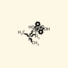 CCCC[PH](CCCC)(CCCC)CCCC.O=C(O)c1ccccc1S(=O)(=O)c1ccccc1C(=O)O